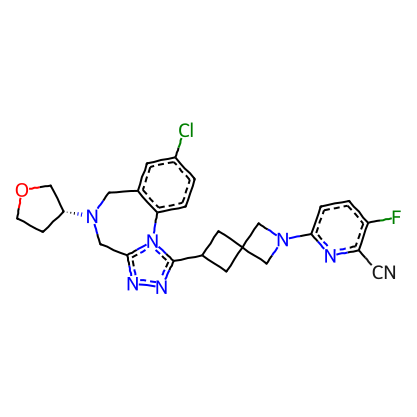 N#Cc1nc(N2CC3(CC(c4nnc5n4-c4ccc(Cl)cc4CN([C@@H]4CCOC4)C5)C3)C2)ccc1F